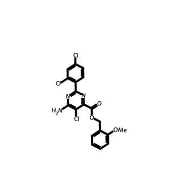 COc1ccccc1COC(=O)c1nc(-c2ccc(Cl)cc2Cl)nc(N)c1Cl